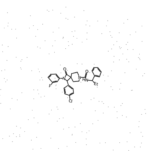 CC[C@@H](NC(=O)N1CCC2(CC1)C(=O)N(c1cccc(F)c1)C2c1ccc(Cl)cc1)c1ccccc1